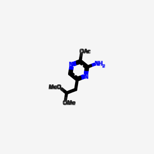 COC(Cc1cnc(OC(C)=O)c(N)n1)OC